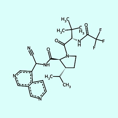 CC(C)[C@H]1CCN(C(=O)[C@@H](NC(=O)C(F)(F)F)C(C)(C)C)[C@@H]1C(=O)NC(C#N)c1cncc2cnccc12